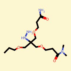 CCCOCC(COCCC(N)=O)(COCCC(=O)N(C)C)NN